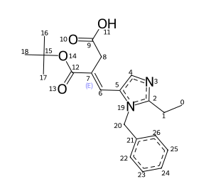 CCc1ncc(/C=C(\CC(=O)O)C(=O)OC(C)(C)C)n1Cc1ccccc1